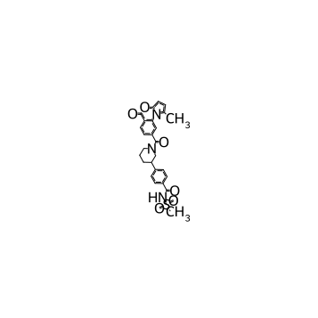 Cc1ccc2oc(=O)c3ccc(C(=O)N4CCCC(c5ccc(C(=O)NS(C)(=O)=O)cc5)C4)cc3n12